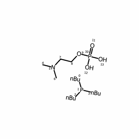 CCCCP(CCCC)CCCC.CN(C)CCOP(=O)(O)O